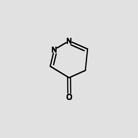 O=C1C=NN=CC1